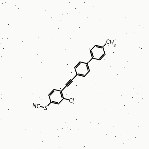 Cc1ccc(-c2ccc(C#Cc3ccc(SC#N)cc3Cl)cc2)cc1